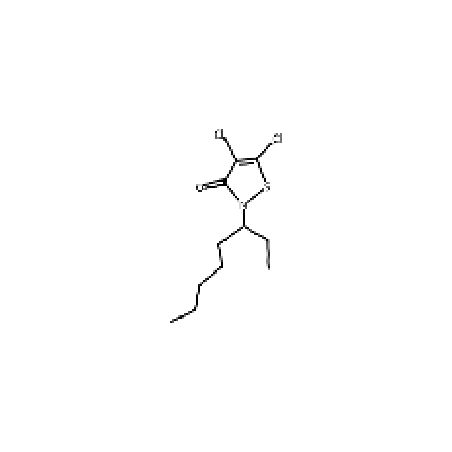 CCCCCC(CC)n1sc(Cl)c(Cl)c1=O